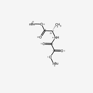 CCCCOC(=O)C(=O)N[C@@H](C)C(=O)OCCCC